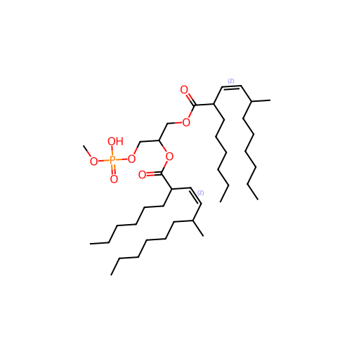 CCCCCCC(C)/C=C\C(CCCCCC)C(=O)OCC(COP(=O)(O)OC)OC(=O)C(/C=C\C(C)CCCCCC)CCCCCC